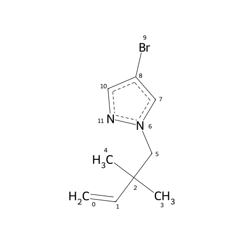 C=CC(C)(C)Cn1cc(Br)cn1